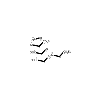 CC(=O)CC(=O)[O-].CC(=O)CC(=O)[O-].CCOC(=O)CC(C)=O.CCOC(=O)CC(C)=O.C[C](=O)[Al+2]